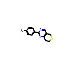 FC(F)(F)c1ccc(-c2ncc3c(n2)CCSC3)cc1